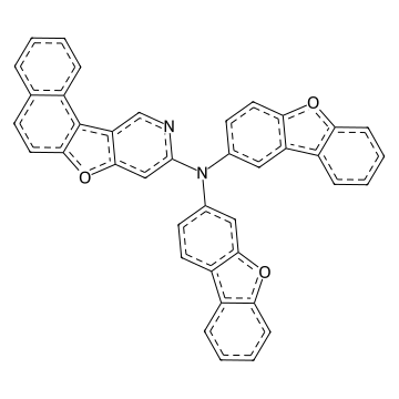 c1ccc2c(c1)ccc1oc3cc(N(c4ccc5c(c4)oc4ccccc45)c4ccc5oc6ccccc6c5c4)ncc3c12